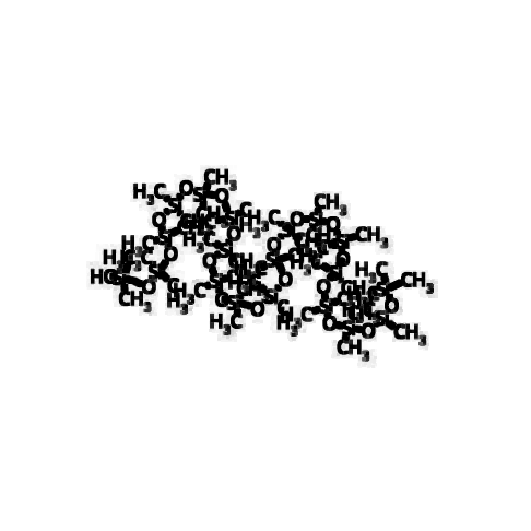 C[Si](C)(C)O[Si](C)(C)O[Si](C)(C)O[Si](C)(C)O[Si](C)(C)O[Si](C)(C)O[Si](C)(C)O[Si](C)(C)O[Si](C)(C)O[Si](C)(C)O[Si](C)(C)O[Si](C)(C)O[Si](C)(C)O[Si](C)(C)O[Si](C)(C)O[Si](C)(C)O[Si](C)(C)O[Si](C)(C)O[Si](C)(C)O